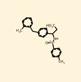 Cc1ccc([S@@+]([O-])NC(CC(=O)O)c2ccc(Cc3ccccc3C)cc2)cc1